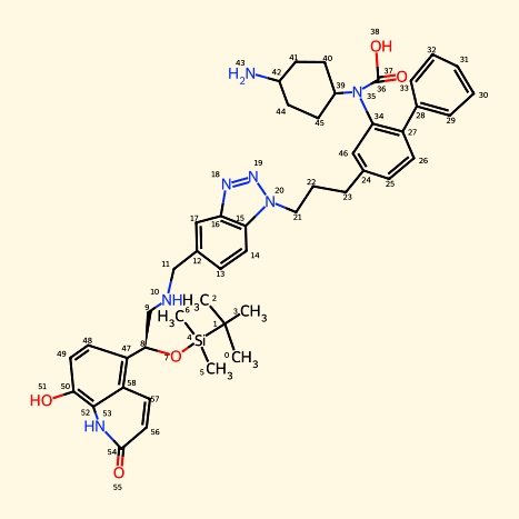 CC(C)(C)[Si](C)(C)O[C@H](CNCc1ccc2c(c1)nnn2CCCc1ccc(-c2ccccc2)c(N(C(=O)O)C2CCC(N)CC2)c1)c1ccc(O)c2[nH]c(=O)ccc12